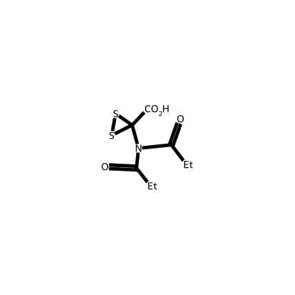 CCC(=O)N(C(=O)CC)C1(C(=O)O)SS1